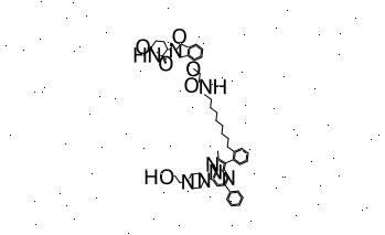 Cc1nn2c(N3CCN(CCO)CC3)cc(-c3ccccc3)nc2c1-c1ccccc1CCCCCCCCCNC(=O)COc1cccc2c1CN(C1CCC(=O)NC1=O)C2=O